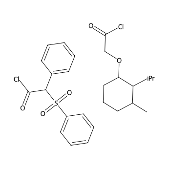 CC(C)C1C(C)CCCC1OCC(=O)Cl.O=C(Cl)C(c1ccccc1)S(=O)(=O)c1ccccc1